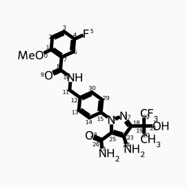 COc1ccc(F)cc1C(=O)NCc1ccc(-n2nc(C(C)(O)C(F)(F)F)c(N)c2C(N)=O)cc1